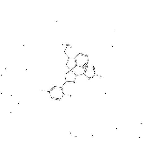 Cc1nnc(N2N=C(c3cc(F)ccc3F)SC2(CCCN)c2ccccn2)s1